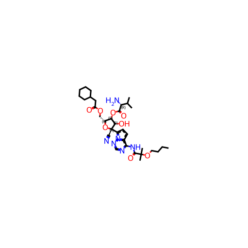 CCCCOC(C)(C)C(=O)Nc1ncnn2c([C@]3(C#N)O[C@H](COC(=O)CC4CCCCC4)[C@@H](OC(=O)[C@H](N)C(C)C)[C@H]3O)ccc12